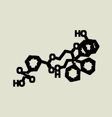 O=C(OCCC(Oc1ccccc1O)P(CCO)(c1ccccc1)(c1ccccc1)c1ccccc1)c1cccc(S(=O)(=O)O)c1